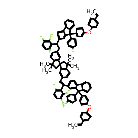 C=Cc1ccc(Oc2ccc(C3(c4ccc(F)cc4)c4ccccc4-c4ccc(/C(=C\c5ccc6c(c5)C5(CC6(C)C)CC(C)(C)c6ccc(CC(c7ccc8c(c7)C(c7ccc(F)cc7)(c7ccc(Oc9ccc(C=C)cc9)cc7)c7ccccc7-8)c7c(F)ccc(F)c7F)cc65)c5c(F)ccc(F)c5F)cc43)cc2)cc1